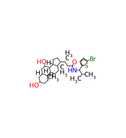 CC(C)C(NC(=O)C[C@@H](C)C1CC[C@H]2[C@@H]3[C@H](O)C[C@@H]4C[C@H](O)CC[C@]4(C)[C@H]3CC[C@]12C)c1ccc(Br)s1